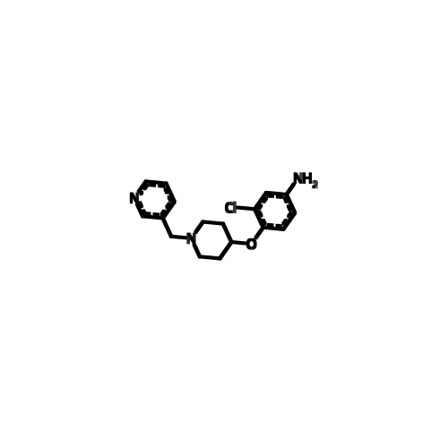 Nc1ccc(OC2CCN(Cc3cccnc3)CC2)c(Cl)c1